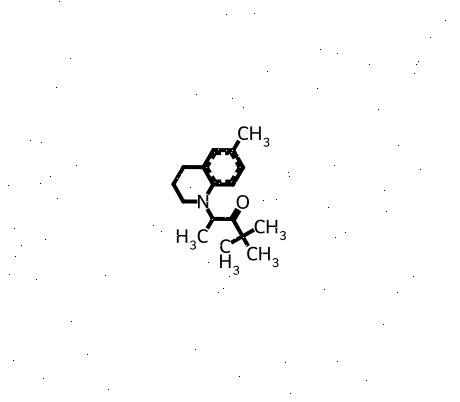 Cc1ccc2c(c1)CCCN2C(C)C(=O)C(C)(C)C